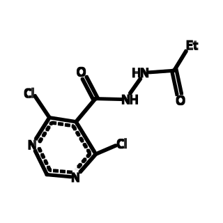 CCC(=O)NNC(=O)c1c(Cl)ncnc1Cl